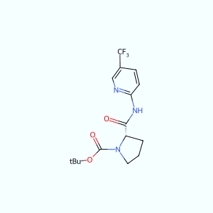 CC(C)(C)OC(=O)N1CCC[C@H]1C(=O)Nc1ccc(C(F)(F)F)cn1